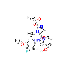 Cn1c(C(=O)NC2(c3ccc(OC(F)(F)F)c(F)c3)CCOc3cccnc32)cnc1OC(=O)C(F)(F)F